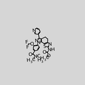 COC(=O)Nc1nc2c(s1)-c1c(c(-c3cccnc3)nn1-c1ccc(C(=O)N(C)C)cc1OC(F)F)CC2